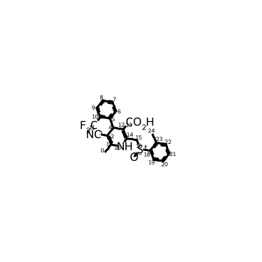 CC1=C(C#N)C(c2ccccc2C(F)(F)F)C(C(=O)O)=C(C[S+]([O-])c2ccccc2C)N1